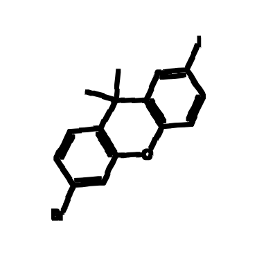 CC1(C)c2ccc(Br)cc2Oc2ccc(I)cc21